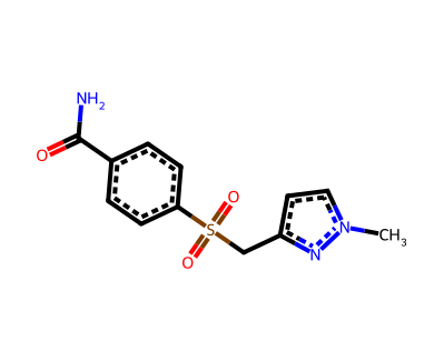 Cn1ccc(CS(=O)(=O)c2ccc(C(N)=O)cc2)n1